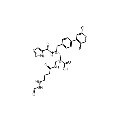 O=CBNCCCC(=O)NC[C@H](C[C@@H](Cc1ccc(-c2cc(Cl)ccc2F)cc1)NC(=O)c1cnn[nH]1)C(=O)O